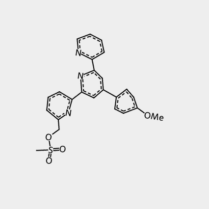 COc1ccc(-c2cc(-c3ccccn3)nc(-c3cccc(COS(C)(=O)=O)n3)c2)cc1